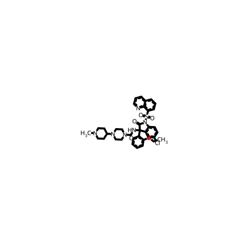 CCOc1ccccc1C1(NC(=O)N2CCN(C3CCN(C)CC3)CC2)C(=O)N(S(=O)(=O)c2cccc3cccnc23)c2ccc(Cl)cc21